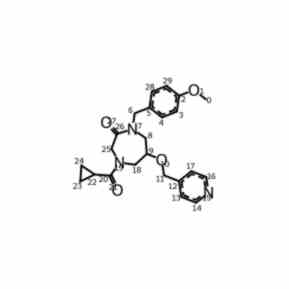 COc1ccc(CN2CC(OCc3ccncc3)CN(C(=O)C3CC3)CC2=O)cc1